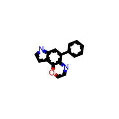 c1ccc(-c2cc3nccc3c3occnc23)cc1